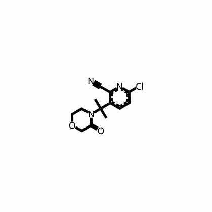 CC(C)(c1ccc(Cl)nc1C#N)N1CCOCC1=O